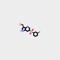 O=Cc1c[nH]c2cc(S(=O)(=O)c3cccc(F)c3)cnc12